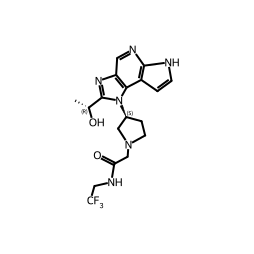 C[C@@H](O)c1nc2cnc3[nH]ccc3c2n1[C@H]1CCN(CC(=O)NCC(F)(F)F)C1